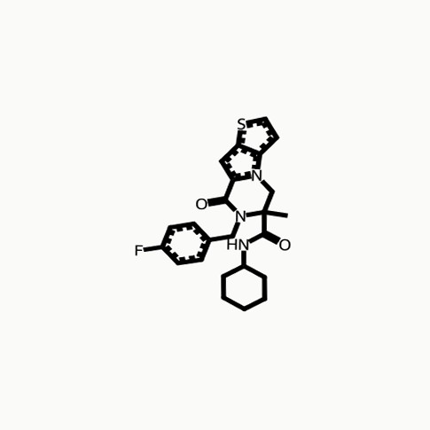 CC1(C(=O)NC2CCCCC2)Cn2c(cc3sccc32)C(=O)N1Cc1ccc(F)cc1